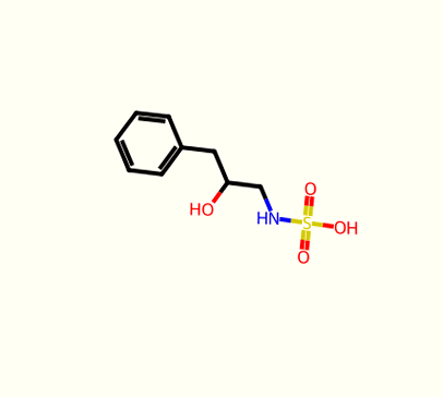 O=S(=O)(O)NCC(O)Cc1ccccc1